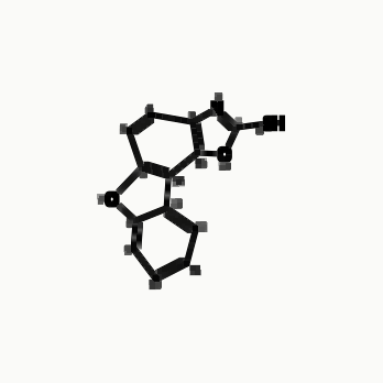 Sc1nc2ccc3oc4ccccc4c3c2o1